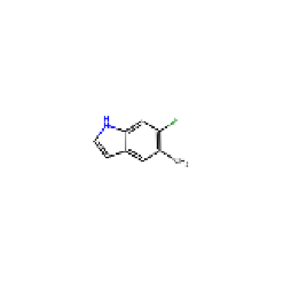 Cc1cc2cc[nH]c2cc1F